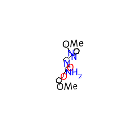 COCCCn1c([C@@H]2CCCN(C(=O)C[C@@H](N)COc3cccc(OC)c3)C2)nc2ccccc21